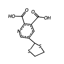 O=C(O)c1cc(C2SCCS2)cnc1C(=O)O